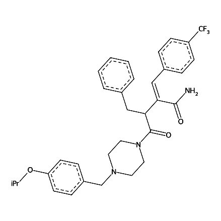 CC(C)Oc1ccc(CN2CCN(C(=O)C(Cc3ccccc3)C(=Cc3ccc(C(F)(F)F)cc3)C(N)=O)CC2)cc1